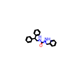 NN(Cc1ccccc1)C(=O)NCC(c1ccccc1)c1ccccc1